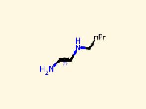 CCCCN/C=C/N